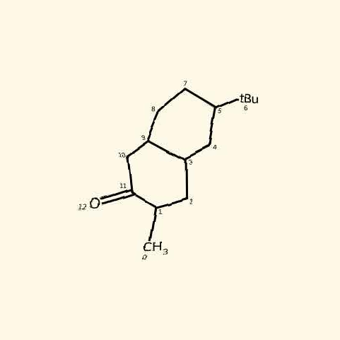 CC1CC2CC(C(C)(C)C)CCC2CC1=O